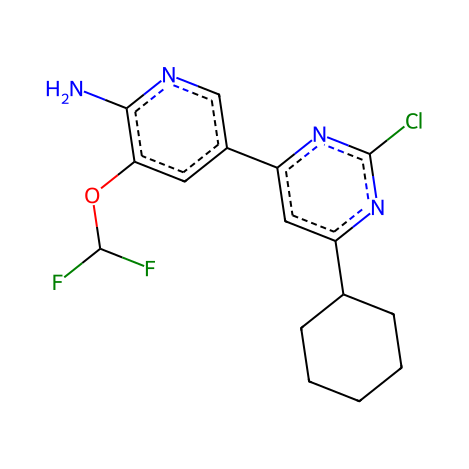 Nc1ncc(-c2cc(C3CCCCC3)nc(Cl)n2)cc1OC(F)F